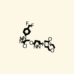 O=C1CN(c2ccc(OCc3c(Cl)nnn3-c3ccc(C(F)F)cc3)nn2)CC2COCCN12